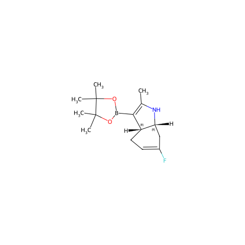 CC1=C(B2OC(C)(C)C(C)(C)O2)[C@H]2CC=C(F)C[C@H]2N1